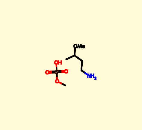 COC(C)CCN.COS(=O)(=O)O